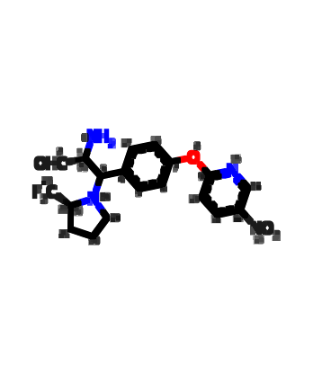 N[C@H](C=O)C(c1ccc(Oc2ccc([N+](=O)[O-])cn2)cc1)N1CCC[C@H]1C(F)(F)F